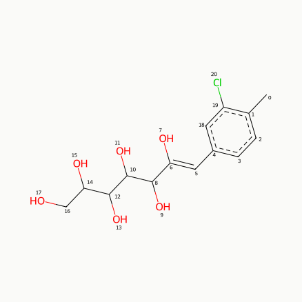 Cc1ccc(C=C(O)C(O)C(O)C(O)C(O)CO)cc1Cl